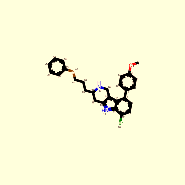 COc1ccc(-c2ccc(Br)c3[nH]c4c(c23)CNC(CCCSc2ccccc2)C4)cc1